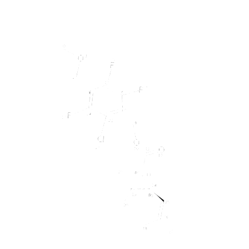 COCc1c(F)c(F)c(COC(=O)[C@@H]2[C@@H](C=C(C)C)C2(C)C)c(Cl)c1F